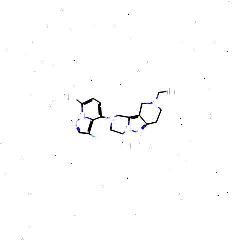 CC(C)CN1CCc2nn3c(c2C1)CN(c1ccc(C#N)n2ncc(F)c12)C[C@H]3C